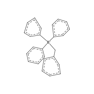 c1ccc(C[B-](c2ccccc2)(c2ccccc2)c2ccccc2)cc1